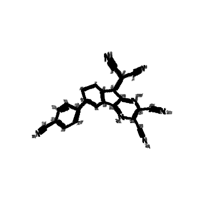 N#CC(C#N)=C1c2ccc(-c3ccc(C#N)cc3)cc2-c2nc(C#N)c(C#N)nc21